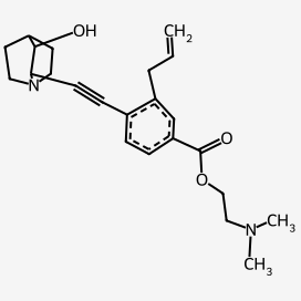 C=CCc1cc(C(=O)OCCN(C)C)ccc1C#CC1C(O)C2CCN1CC2